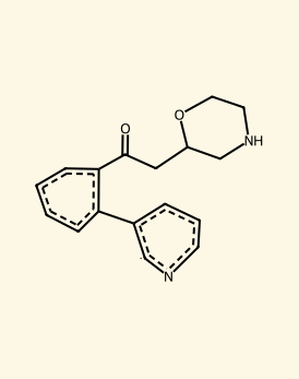 O=C(CC1CNCCO1)c1ccccc1-c1[c]nccc1